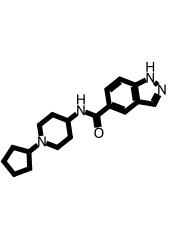 O=C(NC1CCN(C2CCCC2)CC1)c1ccc2[nH]ncc2c1